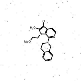 COCCn1c(C)c(C)c2c[c]nc(N3CCc4ccccc4C3)c21